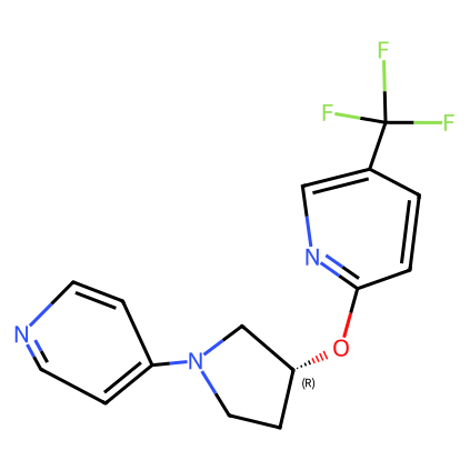 FC(F)(F)c1ccc(O[C@@H]2CCN(c3ccncc3)C2)nc1